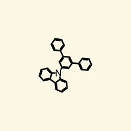 c1ccc(-c2cc(-c3ccccc3)cc(-n3c4ccccc4c4ccccc43)c2)cc1